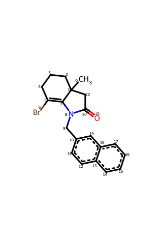 CC12CCCC(Br)=C1N(Cc1ccc3ccccc3c1)C(=O)C2